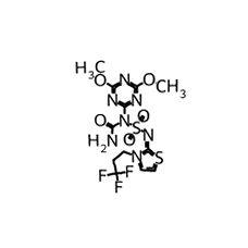 COc1nc(OC)nc(N(C(N)=O)S(=O)(=O)/N=c2/sccn2CCC(F)(F)F)n1